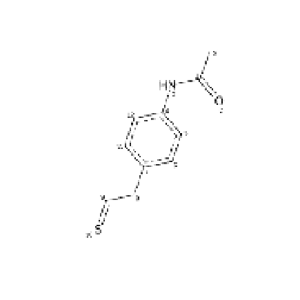 CC(=O)Nc1ccc(CC=S)cc1